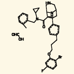 Cc1ccccc1CN(C(=O)C1=C(c2ccc(CCCOc3cc(F)ccc3Br)cc2)CC2CNCC1N2)C1CC1.O=CO